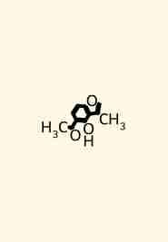 CC(=O)c1ccc2occ(C)c2c1O